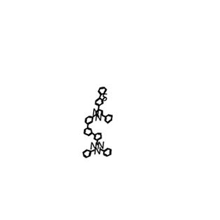 c1ccc(-c2cc(-c3ccc4c(c3)sc3ccccc34)nc(-c3cccc(-c4cccc(-c5cccc(-c6nc(-c7ccccc7)nc(-c7ccccc7)n6)c5)c4)c3)n2)cc1